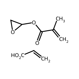 C=C(C)C(=O)OC1CO1.C=CC(=O)O